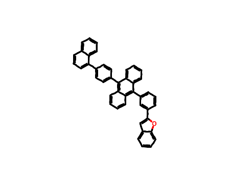 c1cc(-c2cc3ccccc3o2)cc(-c2c3ccccc3c(-c3ccc(-c4cccc5ccccc45)cc3)c3ccccc23)c1